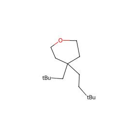 CC(C)(C)CCC1(CC(C)(C)C)CCOCC1